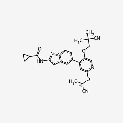 C[C@@H](C#N)Oc1cc(-c2ccn3nc(NC(=O)C4CC4)cc3c2)c(OCC(C)(C)C#N)cn1